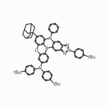 CC(C)(C)c1ccc(N(c2ccc(C(C)(C)C)cc2)c2ccc3c(c2)Oc2cc(C45CC6CC(CC(C6)C4)C5)cc4c2B3c2cc3nn(-c5ccc(C(C)(C)C)cc5)nc3cc2N4c2ccccc2)cc1